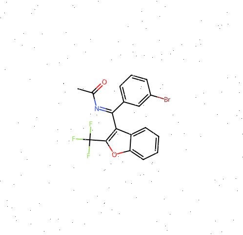 CC(=O)N=C(c1cccc(Br)c1)c1c(C(F)(F)F)oc2ccccc12